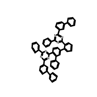 c1ccc(-c2cccc(-c3nc(-c4ccccc4)nc(-c4ccccc4-c4ccc(-c5nc(-c6ccccc6)nc(-c6cccc(-c7ccccc7)c6)n5)c(-c5ccccc5)c4)n3)c2)cc1